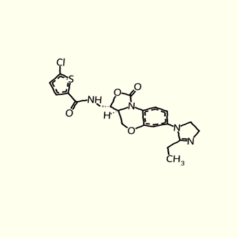 CCC1=NCCN1c1ccc2c(c1)OC[C@H]1[C@H](CNC(=O)c3ccc(Cl)s3)OC(=O)N21